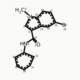 Cn1cc(C(=O)Nc2ccccc2)c2cc(Br)ccc21